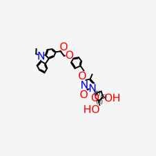 CCn1c2ccccc2c2cc(C(=O)COc3ccc(COc4nc(=O)n([C@H]5C[C@H](O)[C@@H](CO)O5)cc4C)cc3)ccc21